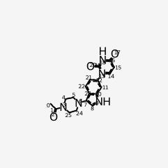 CC(=O)N1CCN(c2c[nH]c3cc(-n4ccc(=O)[nH]c4=O)ccc23)CC1